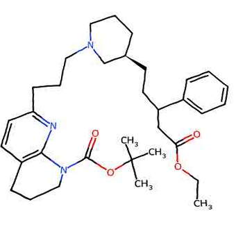 CCOC(=O)CC(CC[C@@H]1CCCN(CCCc2ccc3c(n2)N(C(=O)OC(C)(C)C)CCC3)C1)c1ccccc1